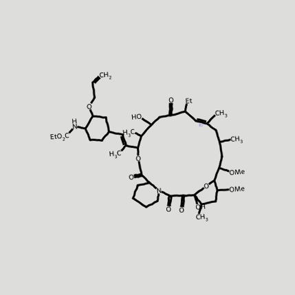 C=CCOC1CC(C=C(C)C2OC(=O)C3CCCCN3C(=O)C(=O)C3(O)OC(C(OC)CC(C)C/C(C)=C/C(CC)C(=O)CC(O)C2C)C(OC)CC3C)CCC1NC(=O)OCC